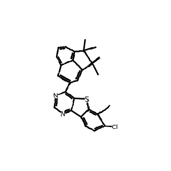 Cc1c(Cl)ccc2c1sc1c(-c3cc4c5c(cccc5c3)C(C)(C)C4(C)C)ncnc12